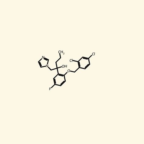 CCCC(O)(Cn1ccnc1)c1cc(F)ccc1OCc1ccc(Cl)cc1Cl